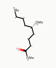 COC(=O)CCC[C@H](CCCC(C)(C)C)OC